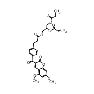 C=CC(=O)OCC(COC(=O)CCc1ccc(C(=O)c2cc3c(OC)cc(OC)cc3oc2=O)cc1)OC(=O)C=C